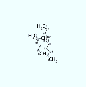 C=CCC=C(C)C.C=CCCCCCCC=C